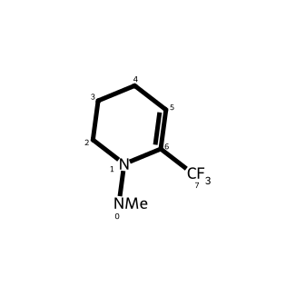 CNN1CCCC=C1C(F)(F)F